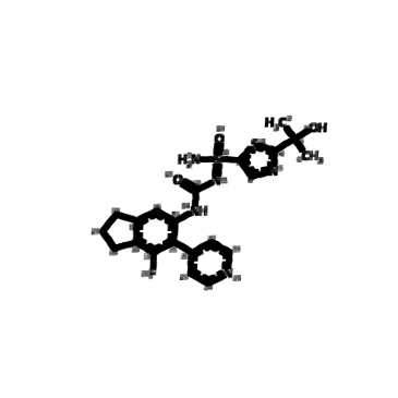 CC(C)(O)c1ncc(S(N)(=O)=NC(=O)Nc2cc3c(c(F)c2-c2ccncc2)CCC3)s1